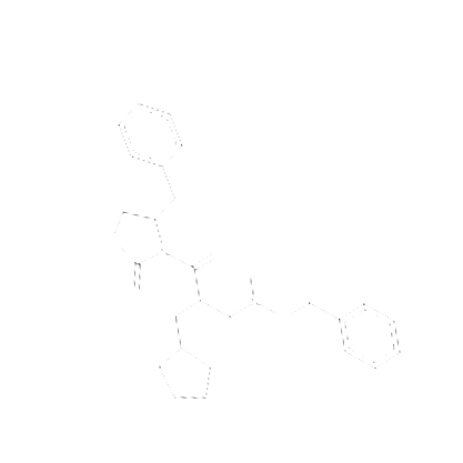 O=CN(CC(CC1CCCC1)C(=O)N1C(=O)OCC1Cc1ccccc1)OCc1ccccc1